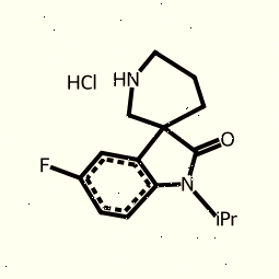 CC(C)N1C(=O)C2(CCCNC2)c2cc(F)ccc21.Cl